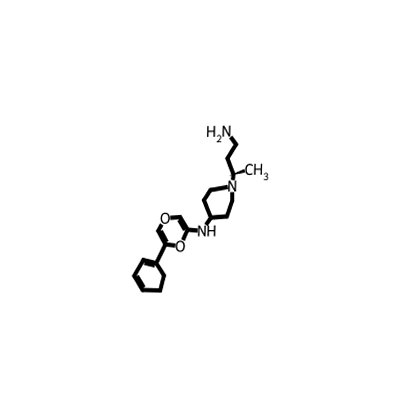 C[C@H](CCN)N1CCC(NC2=COC=C(C3=CC=CCC3)O2)CC1